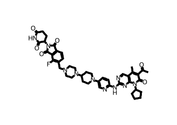 CC(=O)c1c(C)c2cnc(Nc3ccc(N4CCC(N5CCN(Cc6ccc7c(c6F)C(=O)N(C6CCC(=O)NC6=O)C7=O)CC5)CC4)cn3)nc2n(C2CCCC2)c1=O